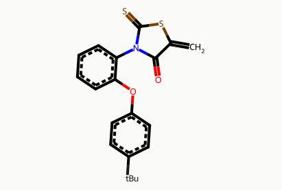 C=C1SC(=S)N(c2ccccc2Oc2ccc(C(C)(C)C)cc2)C1=O